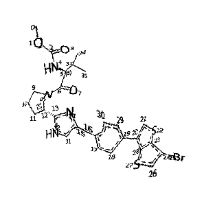 COC(=O)N[C@H](C(=O)N1CCC[C@H]1c1nc(-c2ccc(-c3csc4c(Br)csc34)cc2)c[nH]1)C(C)C